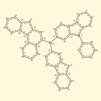 c1ccc(-n2c3ccccc3c3ccc(N(c4ccc5c(c4)sc4ccccc45)c4cc5sc6ccccc6c5c5ccccc45)cc32)cc1